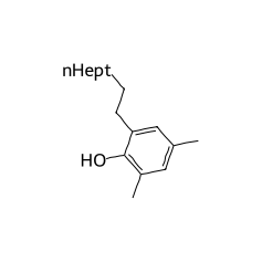 CCCCCCCCCc1cc(C)cc(C)c1O